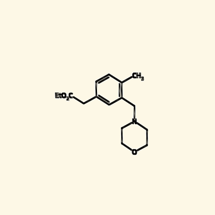 CCOC(=O)Cc1ccc(C)c(CN2CCOCC2)c1